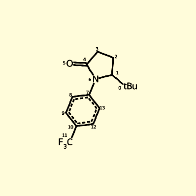 CC(C)(C)C1CCC(=O)N1c1ccc(C(F)(F)F)cc1